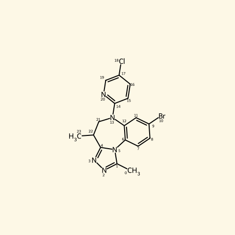 Cc1nnc2n1-c1ccc(Br)cc1N(c1ccc(Cl)cn1)CC2C